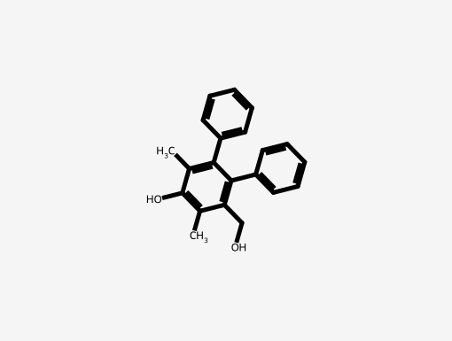 Cc1c(O)c(C)c(-c2ccccc2)c(-c2ccccc2)c1CO